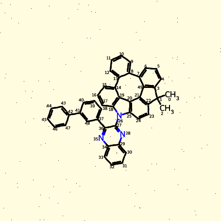 CC1(C)c2cccc3c4ccccc4c4cccc5c4c4c(c1ccc4n5-c1nc4ccccc4nc1-c1cccc(-c4ccccc4)c1)c23